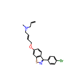 C=CCN(C)CC=CCOc1ccc2c(-c3ccc(Br)cc3)nsc2c1